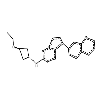 CCO[C@H]1C[C@H](Nc2ncc3c(-c4ccc5nccnc5c4)ccn3n2)C1